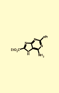 CCCc1nc(N)c2[nH]c(C(=O)OCC)nc2n1